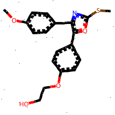 COc1ccc(-c2nc(SC)oc2-c2ccc(OCCO)cc2)cc1